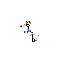 COc1ccc(CCN(C)CCCN(C)C(=O)/C=C/c2cccc(F)c2)cc1OC